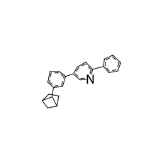 c1ccc(-c2ccc(-c3cccc(C4C5CCC4C5)c3)cn2)cc1